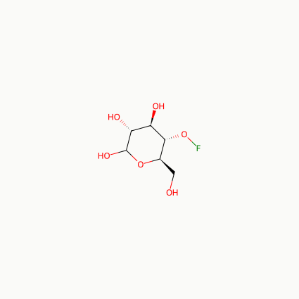 OC[C@H]1OC(O)[C@H](O)[C@@H](O)[C@@H]1OF